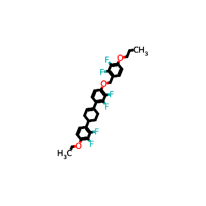 CCCOc1ccc(COc2ccc(C3=CCC(c4ccc(OCC)c(F)c4F)CC3)c(F)c2F)c(F)c1F